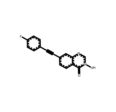 CCCn1cnc2cc(C#Cc3ccc(F)cc3)ccc2c1=O